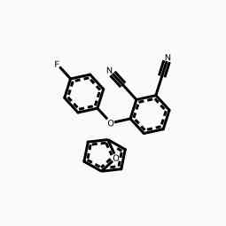 N#Cc1cccc(Oc2ccc(F)cc2)c1C#N.c1cc2ccc1o2